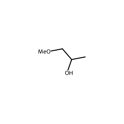 COC[C](C)O